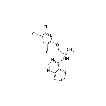 C[C@@H](COc1nc(Cl)c(Cl)cc1Cl)Nc1ncnc2ccccc12